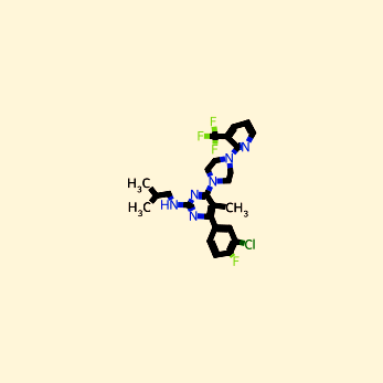 Cc1c(-c2ccc(F)c(Cl)c2)nc(NCC(C)C)nc1N1CCN(c2ncccc2C(F)(F)F)CC1